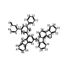 C=C/C=C(\C=C/C)c1cc(-c2ccccc2)nc(-c2cc(-n3c4ccccc4c4c5oc6ccccc6c5ccc43)cc3c2sc2ccccc23)n1